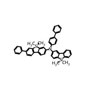 C[Si]1(C)c2ccccc2-c2cc(N(c3ccc(-c4ccccc4)cc3)c3ccc4c(c3)[Si](C)(C)c3cc(-c5ccccc5)ccc3-4)ccc21